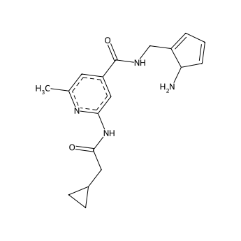 Cc1cc(C(=O)NCC2=CC=CC2N)cc(NC(=O)CC2CC2)n1